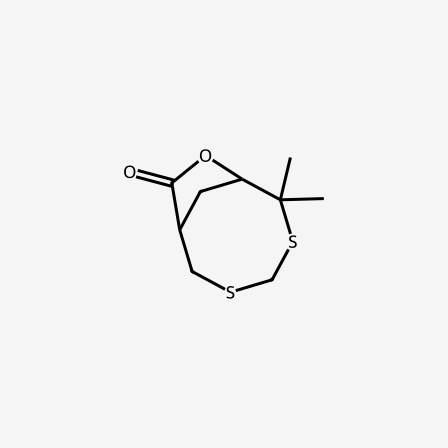 CC1(C)SCSCC2CC1OC2=O